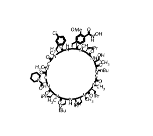 CCCCN1CC(=O)N(C)[C@@H](CC(C)C)C(=O)N(C)[C@@H](CC(C)C)C(O)N[C@@H](COC(C)(C)C)C(=O)N(C)[C@@H](CC(C)C)C(=O)N[C@H](C(=O)N2CCCCC2)CC(=O)N(C)CC(=O)N(C)[C@@H](Cc2cccc(Cl)c2)C(=O)N[C@@H](Cc2ccc(C(=O)NO)c(OC)c2)C(=O)N(C)[C@@H](CC(C)C)C(=O)N[C@@H]([C@@H](C)O)C1=O